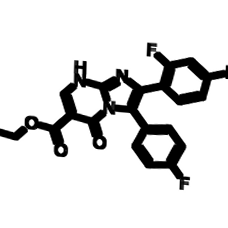 CCOC(=O)c1c[nH]c2nc(-c3ccc(F)cc3F)c(-c3ccc(F)cc3)n2c1=O